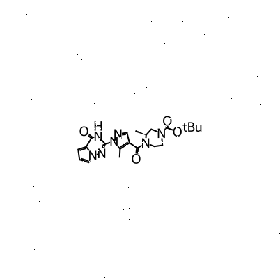 Cc1c(C(=O)N2CCN(C(=O)OC(C)(C)C)C[C@@H]2C)cnn1-c1nn2cccc2c(=O)[nH]1